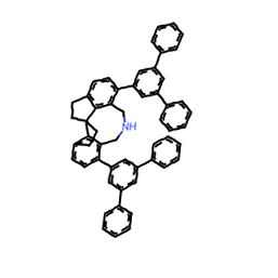 c1ccc(-c2cc(-c3ccccc3)cc(-c3ccc4c5c3CNCc3c(-c6cc(-c7ccccc7)cc(-c7ccccc7)c6)ccc6c3C5(CC4)CC6)c2)cc1